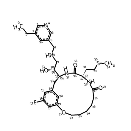 CCc1cncc(CNC[C@@H](O)[C@@H]2Cc3cc(F)cc(c3)OCCCCCC(=O)N[C@@H](CCSC)C(=O)N2)c1